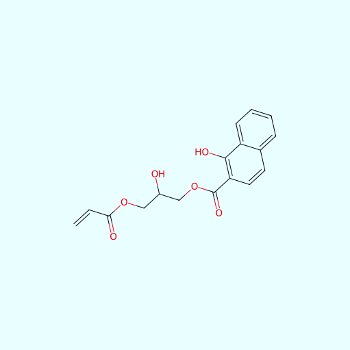 C=CC(=O)OCC(O)COC(=O)c1ccc2ccccc2c1O